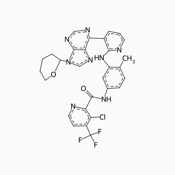 Cc1ccc(NC(=O)c2nccc(C(F)(F)F)c2Cl)cc1Nc1ncccc1-c1ncnc2c1ncn2C1CCCCO1